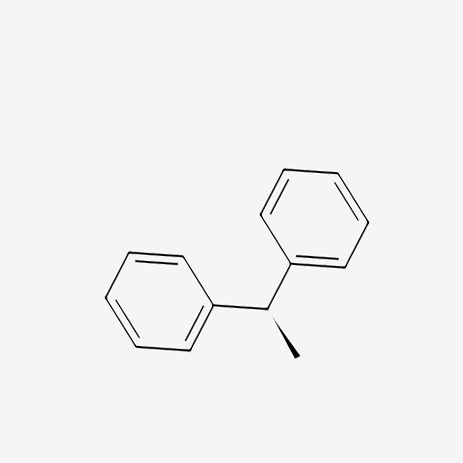 C[C@@H](c1[c]cccc1)c1ccccc1